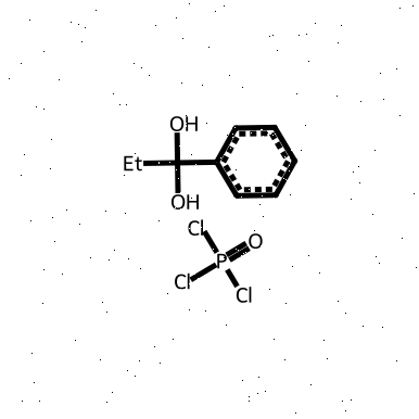 CCC(O)(O)c1ccccc1.O=P(Cl)(Cl)Cl